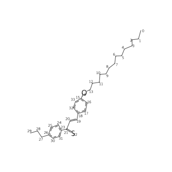 CCCCCCCCCCCCCCOc1ccc(C=CC(=S)c2ccc(CCC)cc2)cc1